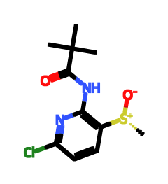 C[S@@+]([O-])c1ccc(Cl)nc1NC(=O)C(C)(C)C